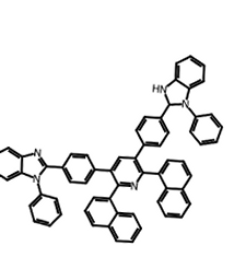 c1ccc(N2c3ccccc3NC2c2ccc(-c3cc(-c4ccc(-c5nc6ccccc6n5-c5ccccc5)cc4)c(-c4cccc5ccccc45)nc3-c3cccc4ccccc34)cc2)cc1